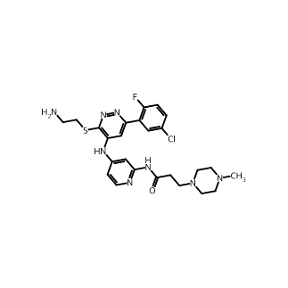 CN1CCN(CCC(=O)Nc2cc(Nc3cc(-c4cc(Cl)ccc4F)nnc3SCCN)ccn2)CC1